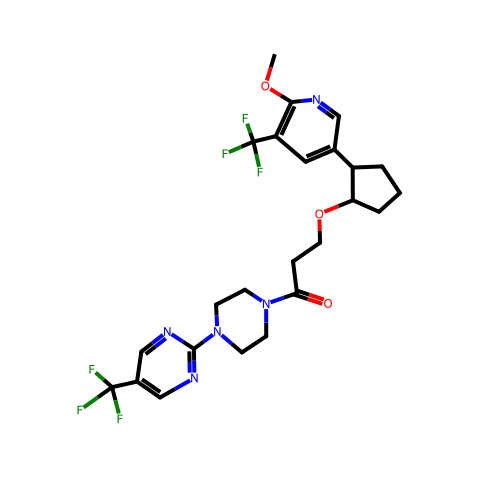 COc1ncc(C2CCCC2OCCC(=O)N2CCN(c3ncc(C(F)(F)F)cn3)CC2)cc1C(F)(F)F